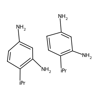 CC(C)c1ccc(N)cc1N.CC(C)c1ccc(N)cc1N